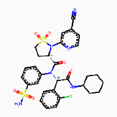 N#Cc1ccnc(N2[C@H](C(=O)N(c3cccc(S(N)(=O)=O)c3)[C@H](C(=O)NC3CCCCC3)c3ccccc3Cl)CCS2(=O)=O)c1